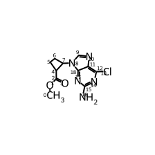 COC(=O)C1CCC1n1cnc2c(Cl)nc(N)nc21